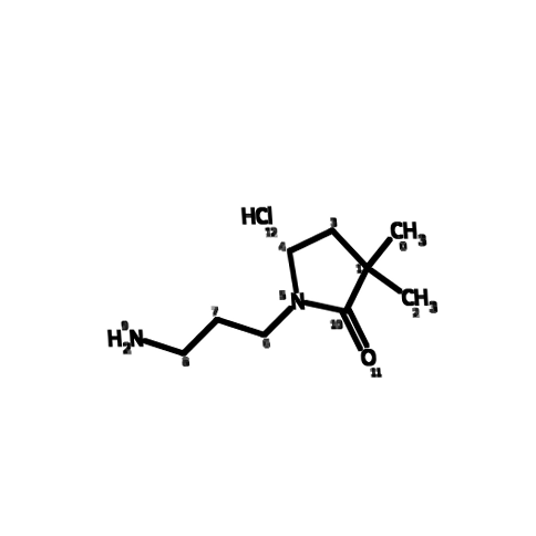 CC1(C)CCN(CCCN)C1=O.Cl